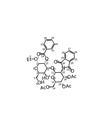 CCO[C@H]1O[C@H](CO)[C@H](O)[C@H](O[C@@H]2O[C@H](COC(C)=O)[C@@H](OC(C)=O)[C@H](OC(C)=O)[C@@H]2N2C(=O)c3ccccc3C2=O)[C@H]1OC(=O)c1ccccc1